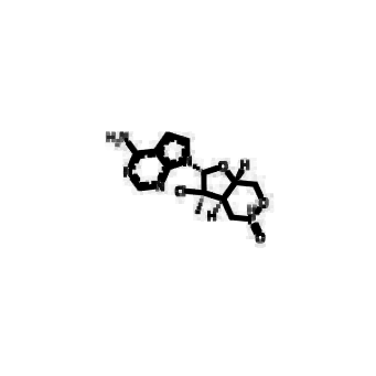 C[C@@]1(Cl)[C@@H]2C[PH](=O)OC[C@H]2O[C@H]1n1ccc2c(N)ncnc21